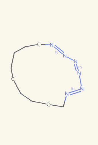 C1CCCC/N=N/N=N\N=N\CCCC1